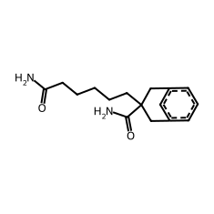 NC(=O)CCCCCC1(C(N)=O)Cc2cccc(c2)C1